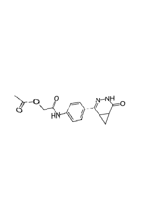 CC(=O)OCC(=O)Nc1ccc(C2=NNC(=O)C3CC23)cc1